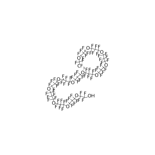 OCC(F)(F)C(F)(F)OC(F)(F)C(F)(F)C(F)(F)OC(F)(F)C(F)(F)C(F)(F)OC(F)(F)C(F)(F)C(F)(F)OC(F)(F)C(F)(F)C(F)(F)OC(F)(F)C(F)(F)C(F)(F)OC(F)(F)C(F)(F)C(F)(F)OC(F)(F)C(F)(F)C(F)(F)OC(F)(F)C(F)(F)C(F)(F)OC(F)(F)C(F)(F)C(F)(F)OC(F)(F)C(F)(F)C(F)(F)OC(F)(F)C(F)(F)C(F)(F)OC(F)(F)C(F)(F)F